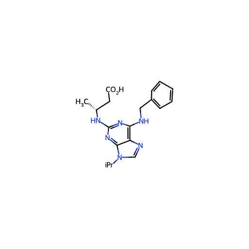 CC(C)n1cnc2c(NCc3ccccc3)nc(N[C@H](C)CC(=O)O)nc21